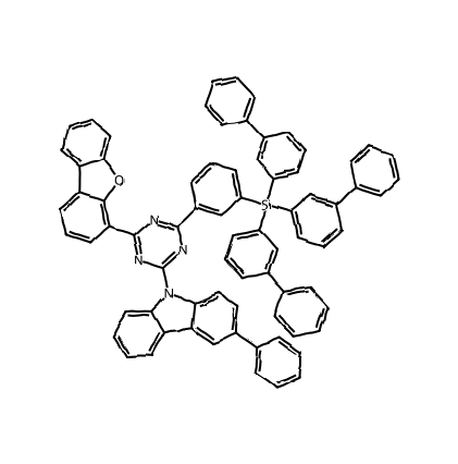 c1ccc(-c2cccc([Si](c3cccc(-c4ccccc4)c3)(c3cccc(-c4ccccc4)c3)c3cccc(-c4nc(-c5cccc6c5oc5ccccc56)nc(-n5c6ccccc6c6cc(-c7ccccc7)ccc65)n4)c3)c2)cc1